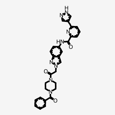 O=C(Nc1ccc2nn(CC(=O)N3CCN(C(=O)c4ccccc4)CC3)cc2c1)c1cccc(-c2cn[nH]c2)n1